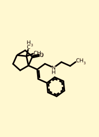 CCCNCC(=Cc1ccccc1)C12CCC(CC1=O)C2(C)C